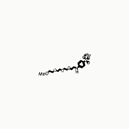 COCCOCCOCCOCCNc1ccc(S(=O)(=O)OC(C)(C)C)cc1